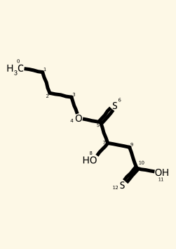 CCCCOC(=S)C(O)CC(O)=S